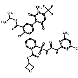 CC(C)OC(=O)c1cc(-n2c(=O)cc(C(F)(F)F)n(C)c2=O)ccc1Cl.Cc1cc(C)nc(NC(=O)NS(=O)(=O)c2ccccc2C(=O)OC2COC2)n1